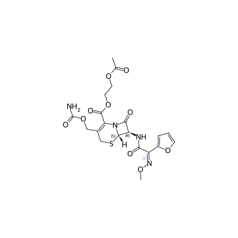 CO/N=C(\C(=O)N[C@@H]1C(=O)N2C(C(=O)OCCOC(C)=O)=C(COC(N)=O)CS[C@@H]12)c1ccco1